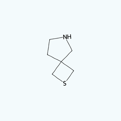 C1CC2(CN1)CSC2